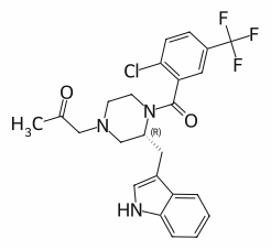 CC(=O)CN1CCN(C(=O)c2cc(C(F)(F)F)ccc2Cl)[C@H](Cc2c[nH]c3ccccc23)C1